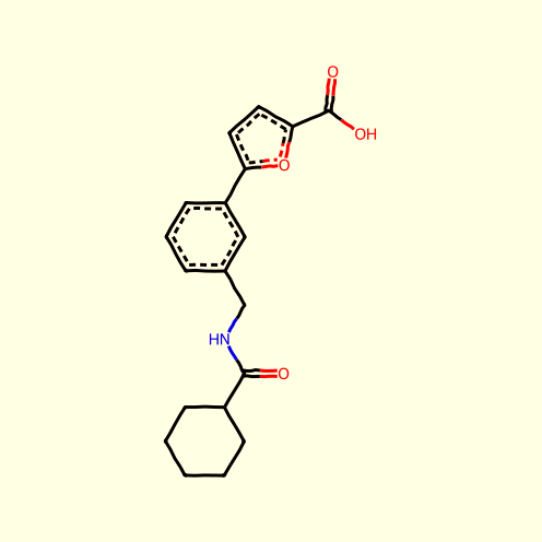 O=C(O)c1ccc(-c2cccc(CNC(=O)C3CCCCC3)c2)o1